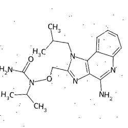 CC(C)Cn1c(CON(C(N)=O)C(C)C)nc2c(N)nc3ccccc3c21